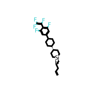 C=CCCC[Si@H]1CC[C@H](C2CCC(c3cc(F)c(C(F)=C(F)F)c(F)c3)CC2)CC1